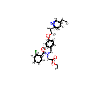 CCOC(=O)CN(Cc1ccc(OCCc2ccc(CC)cn2)cc1)C(=O)c1ccccc1F